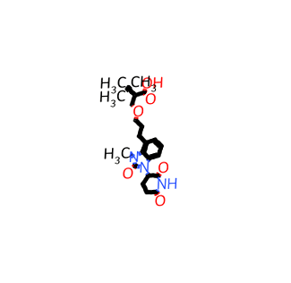 Cn1c(=O)n(C2CCC(=O)NC2=O)c2cccc(CCCOCC(C(=O)O)C(C)(C)C)c21